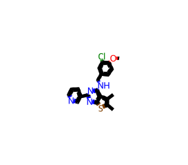 COc1ccc(CNc2nc(-c3cccnc3)nc3sc(C)c(C)c23)cc1Cl